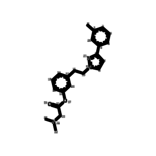 Cc1cccc(-c2ccn(CCc3cccc(OC(=O)CN(C)C)c3)n2)c1